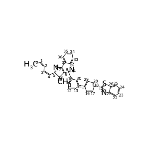 C/C=C\C=C/C1=Nc2c(c(-c3cccc(-c4ccc(-c5nc6ccccc6s5)cc4)c3)nc3ccccc23)[C@H]1C